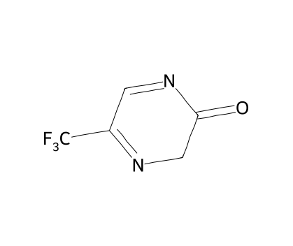 O=C1CN=C(C(F)(F)F)C=N1